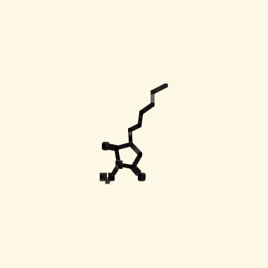 BN1C(=O)CC(CCCCCC)C1=O